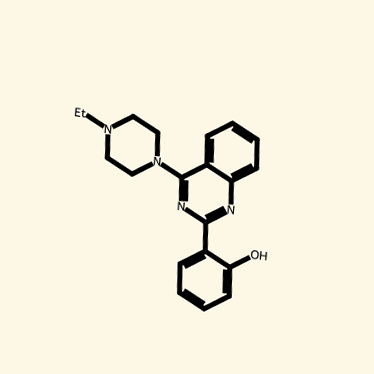 CCN1CCN(c2nc(-c3ccccc3O)nc3ccccc23)CC1